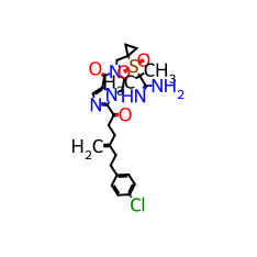 C=C(CCC(=O)c1ncc2n1CCN(CC1(S(=O)(=O)C(C)(C)C(=N)N)CC1)C2=O)CCc1ccc(Cl)cc1